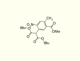 COC(=O)c1cc(C(C(=O)OC(C)(C)C)C(=O)OC(C)(C)C)c([N+](=O)[O-])cc1C